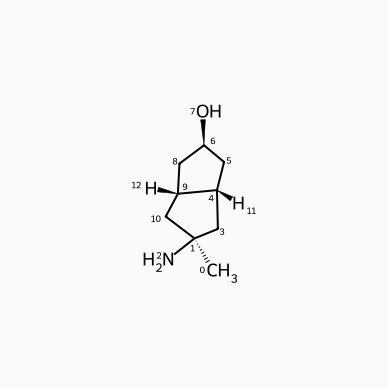 C[C@@]1(N)C[C@H]2C[C@H](O)C[C@H]2C1